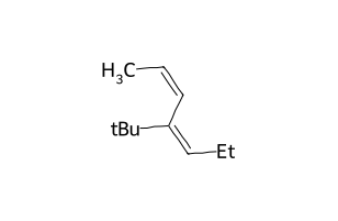 C/C=C\C(=C/CC)C(C)(C)C